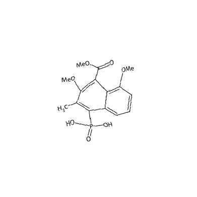 COC(=O)c1c(OC)c(C)c(P(=O)(O)O)c2cccc(OC)c12